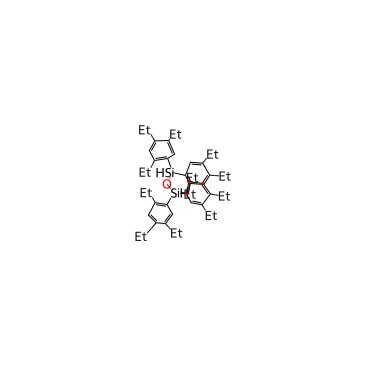 CCc1cc(CC)c([SiH](O[SiH](c2cc(CC)c(CC)cc2CC)c2cc(CC)c(CC)cc2CC)c2cc(CC)c(CC)cc2CC)cc1CC